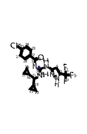 O=C(/N=C(\Nc1cc(C(F)(F)F)[nH]n1)NC(C1CC1)C1CC1)c1ccc(Cl)cc1